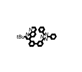 CC(C)(C)c1cc(-c2cccc(-c3cccc(-c4nc(C5=CCCC=C5)nc(-c5ccccc5)n4)c3)c2)c2ccc3cccnc3c2n1